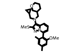 COc1cc(C)cc(C)c1-c1cccc2c(N(CC3CC3)CC3CCCOC3)c(SC)nn12